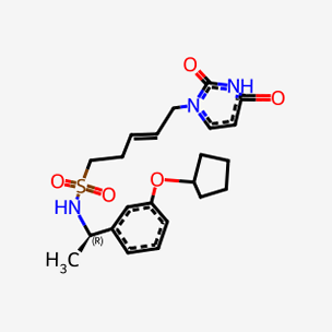 C[C@@H](NS(=O)(=O)CCC=CCn1ccc(=O)[nH]c1=O)c1cccc(OC2CCCC2)c1